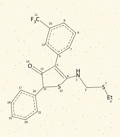 CCSCNC1=C(c2cccc(C(F)(F)F)c2)C(=O)C(c2ccccc2)S1